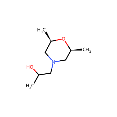 CC(O)[CH]N1C[C@@H](C)O[C@@H](C)C1